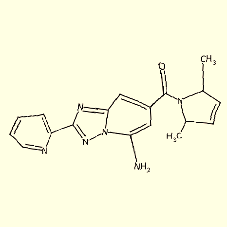 CC1C=CC(C)N1C(=O)c1cc(N)n2nc(-c3ccccn3)nc2c1